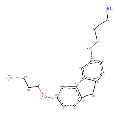 NCCCOc1ccc2c(c1)-c1cc(OCCCN)ccc1C2